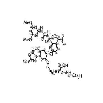 C#CCOc1cc(-n2nc(C(C)(C)C)oc2=O)c(Cl)cc1Cl.COc1cc(OC)nc(NC(=O)NS(=O)(=O)c2ncccc2C(=O)N(C)C)n1.O=C(O)CNCP(=O)(O)O